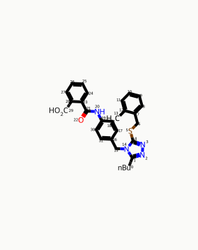 CCCCc1nnc(SCc2ccccc2C)n1Cc1ccc(NC(=O)c2ccccc2C(=O)O)cc1